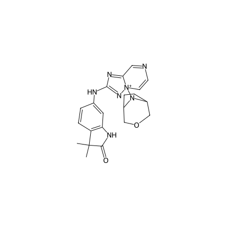 CC1(C)C(=O)Nc2cc(NC3=N[N+]4(N5C6CCC5COC6)C=CN=CC4=N3)ccc21